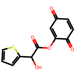 O=C1C=CC(=O)C(OC(=O)C(O)c2cccs2)=C1